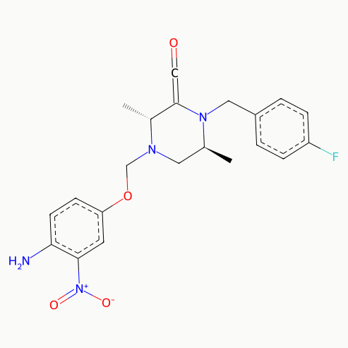 C[C@@H]1C(=C=O)N(Cc2ccc(F)cc2)[C@@H](C)CN1COc1ccc(N)c([N+](=O)[O-])c1